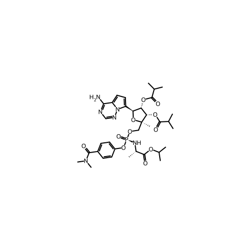 CC(C)OC(=O)[C@H](C)N[P@@](=O)(OC[C@@]1(C)O[C@@H](c2ccc3c(N)ncnn23)[C@H](OC(=O)C(C)C)[C@@H]1OC(=O)C(C)C)Oc1ccc(C(=O)N(C)C)cc1